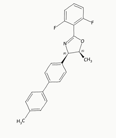 Cc1ccc(-c2ccc([C@H]3N=C(c4c(F)cccc4F)O[C@H]3C)cc2)cc1